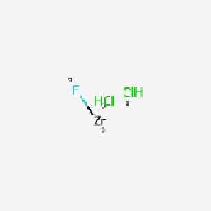 Cl.Cl.[F][Zr]